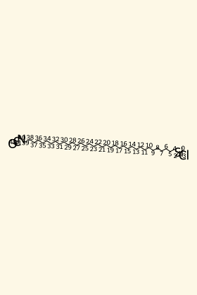 C[Si](C)(Cl)CCCCCCCCCCCCCCCCCCCCCCCCCCCCCCCCCCCCN=C=O